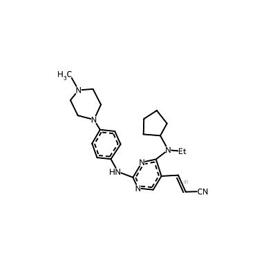 CCN(c1nc(Nc2ccc(N3CCN(C)CC3)cc2)ncc1/C=C/C#N)C1CCCC1